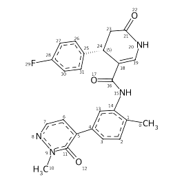 Cc1ccc(-c2ccnn(C)c2=O)cc1NC(=O)C1=CNC(=O)C[C@H]1c1ccc(F)cc1